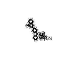 CC(C)C[C@H](O[C@H](c1ccccc1)c1ccc(-c2cc3ccccc3[n+]([O-])c2)cc1)C(=O)NCC#N